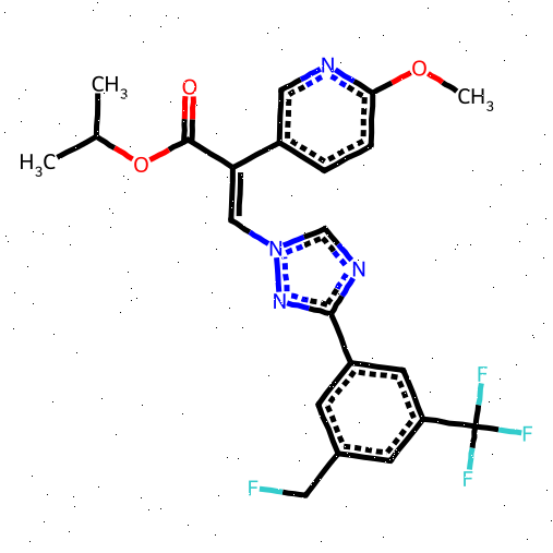 COc1ccc(/C(=C\n2cnc(-c3cc(CF)cc(C(F)(F)F)c3)n2)C(=O)OC(C)C)cn1